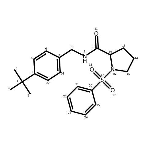 CC(C)(C)c1ccc(CNC(=O)C2CCCN2S(=O)(=O)c2ccccc2)cc1